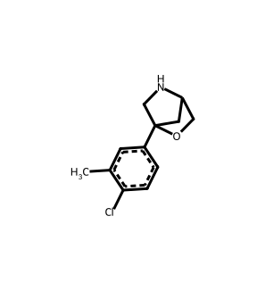 Cc1cc(C23CNC(CO2)C3)ccc1Cl